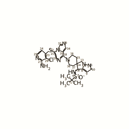 CC(C)(C)[S@@+]([O-])N[C@@H]1c2ccnn2CC12CCN(c1ncc(Sc3ccnc(N)c3Cl)n3cncc13)CC2